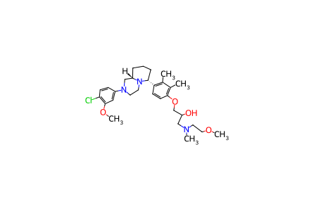 COCCN(C)CC(O)COc1ccc([C@H]2CCC[C@H]3CN(c4ccc(Cl)c(OC)c4)CCN32)c(C)c1C